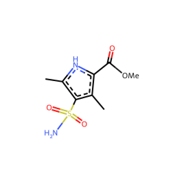 COC(=O)c1[nH]c(C)c(S(N)(=O)=O)c1C